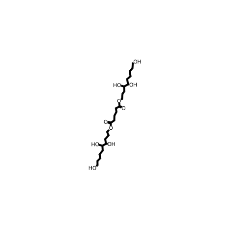 O=C(CCCCC(=O)OCCCC(O)C(O)CCCCCO)OCCCC(O)C(O)CCCCCO